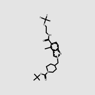 Cc1c(C(=O)NCCOC(F)(F)F)ccc2nn(CC3CCN(C(=O)OC(C)(C)C)CC3)cc12